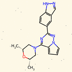 C[C@@H]1CN(c2nc(-c3ccc4[nH]ncc4c3)nn3cccc23)C[C@H](C)O1